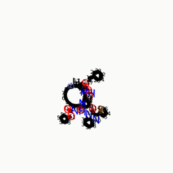 O=C(N[C@@H]1CCCCC/C=C\[C@@H]2C[C@]2(C(=O)OCCc2ccccc2)NC(=O)[C@@H]2C[C@H](Oc3nc4ccccc4nc3-c3cccs3)CN2C1=O)OC1CCCC1